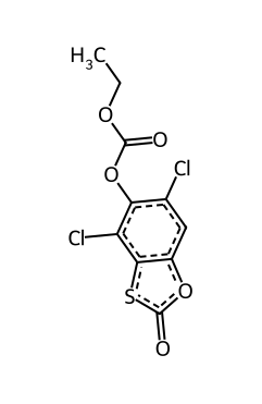 CCOC(=O)Oc1c(Cl)cc2oc(=O)sc2c1Cl